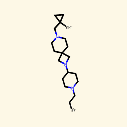 CCCC1(CN2CCC3(CC2)CN(C2CCN(CCC(C)C)CC2)C3)CC1